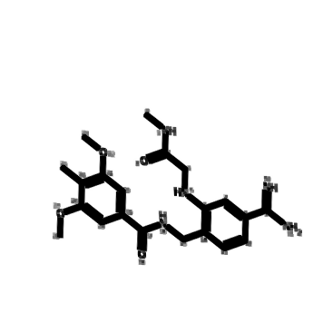 CNC(=O)CNc1cc(C(=N)N)ccc1CNC(=O)c1cc(OC)c(C)c(OC)c1